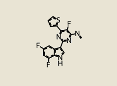 C=Nc1nc(-c2c[nH]c3c(F)cc(F)cc23)nc(-c2cccs2)c1F